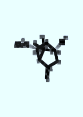 C=C1C[C@@H]2C[C@@H](NC)C1C2(C)C